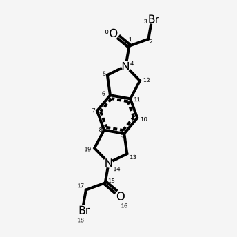 O=C(CBr)N1Cc2cc3c(cc2C1)CN(C(=O)CBr)C3